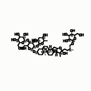 CC1O[C@@H](O[C@H]2C(O)[C@H](O[C@@H]3OC(CO)[C@@H](O)C(O)[C@@H]3O)C(CO)O[C@H]2O[C@H]2CC[C@@]3(C)C(=CC[C@H]4[C@@H]5CC6OC(O)(CC[C@@H](C)CO[C@@H]7OC(CO)[C@@H](O)C(O)[C@@H]7O)[C@@H](C)[C@@H]6[C@@]5(C)CC[C@@H]43)C2)[C@@H](O)C[C@H]1O